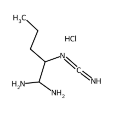 CCCC(N=C=N)C(N)N.Cl